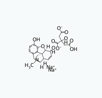 CN1CC[C@]23c4c5ccc(O)c4O[C@H]2[C@@H](O)C=C[C@H]3[C@H]1C5.O=C([O-])CC(O)(CC(=O)O)C(=O)[O-].[Na+].[Na+]